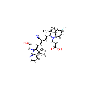 CC1(C)C(/C=C/C(C#N)=C/C=C2/N(CCO)c3ncccc3C2(C)C)=[N+](CCC(=O)O)c2ccc(F)cc21